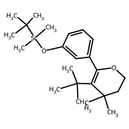 CC(C)(C)C1=C(c2cccc(O[Si](C)(C)C(C)(C)C)c2)OCCC1(C)C